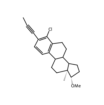 CC#Cc1ccc2c(c1Cl)CCC1C2CC[C@@]2(C)C1CC[C@@H]2OC